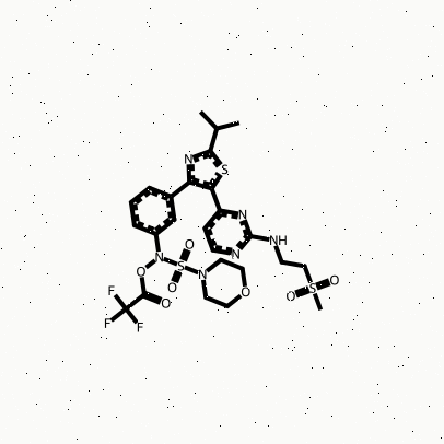 CC(C)c1nc(-c2cccc(N(OC(=O)C(F)(F)F)S(=O)(=O)N3CCOCC3)c2)c(-c2ccnc(NCCS(C)(=O)=O)n2)s1